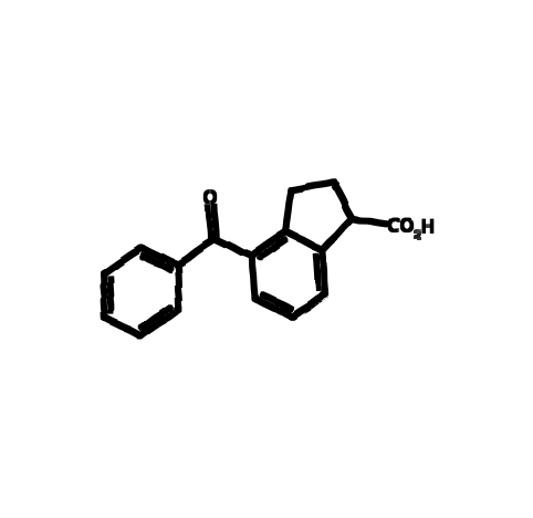 O=C(c1ccccc1)c1cccc2c1CCC2C(=O)O